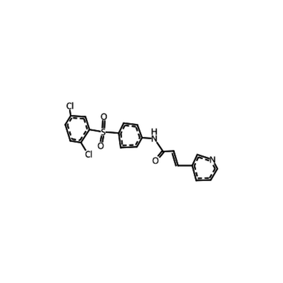 O=C(C=Cc1cccnc1)Nc1ccc(S(=O)(=O)c2cc(Cl)ccc2Cl)cc1